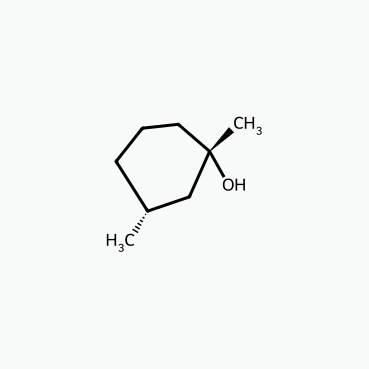 C[C@@H]1CCC[C@](C)(O)C1